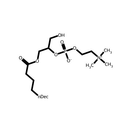 CCCCCCCCCCCCCC(=O)OCC(CO)OP(=O)([O-])OCC[N+](C)(C)C